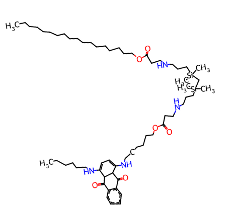 CCCCCCCCCCCCCCCCCCOC(=O)CCNCCC[Si](C)(C)C[Si](C)(C)CCCNCCC(=O)OCCCCCCNC1=CC=C(NCCCCCC)C2C(=O)c3ccccc3C(=O)C12